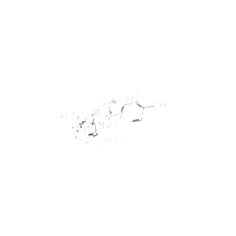 Cc1ccc2c(N[C@@H]3C4CCN(CC4)C3(C)C)noc2c1F.Cl